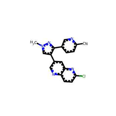 Cn1cc(-c2cnc3ccc(Cl)nc3c2)c(-c2ccc(C#N)nc2)n1